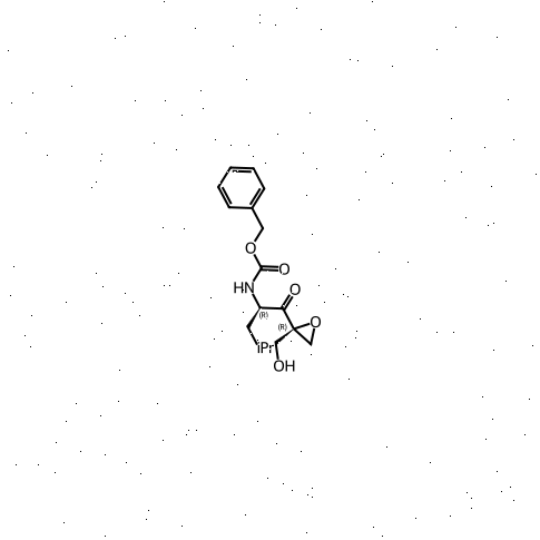 CC(C)C[C@@H](NC(=O)OCc1ccccc1)C(=O)[C@@]1(CO)CO1